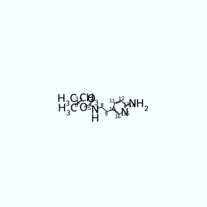 CC(C)(C)OC(=O)NCCc1ccc(N)nc1